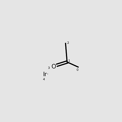 CC(C)=O.[Ir]